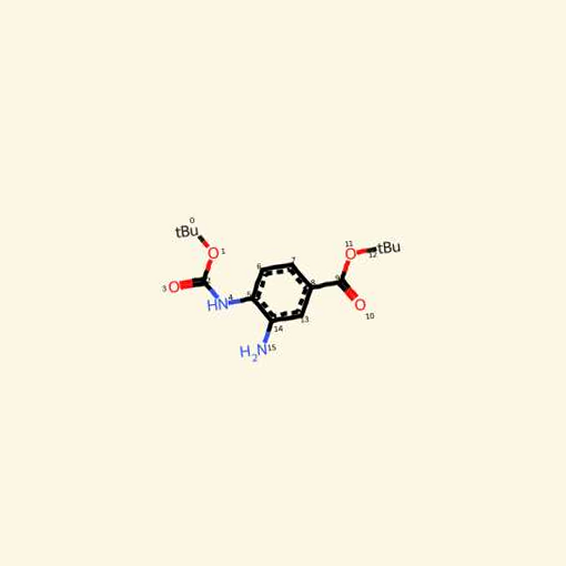 CC(C)(C)OC(=O)Nc1ccc(C(=O)OC(C)(C)C)cc1N